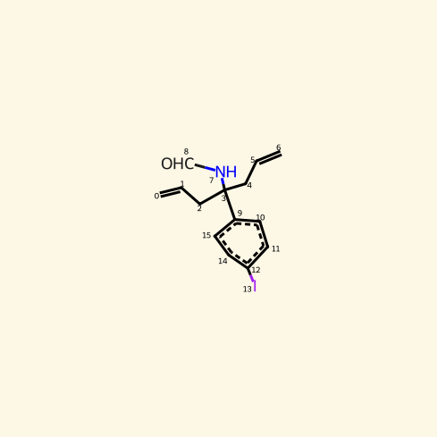 C=CCC(CC=C)(NC=O)c1ccc(I)cc1